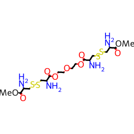 COC(=O)[C@H](N)CSSC[C@@H](N)C(=O)OCCOCCOC(=O)[C@@H](N)CSSC[C@H](N)C(=O)OC